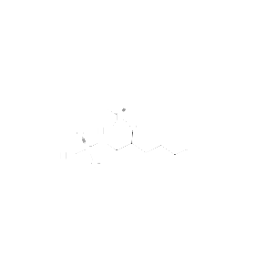 CCCCC(COP(=O)(O)O)OP(=O)(O)O